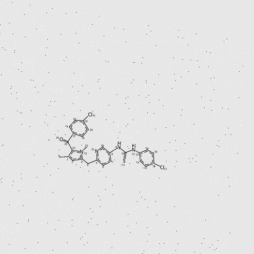 Cc1cc(Cc2ccc(NC(=S)Nc3ccc(Cl)cc3)cn2)n(C)c1C(=O)c1ccc(Cl)cc1